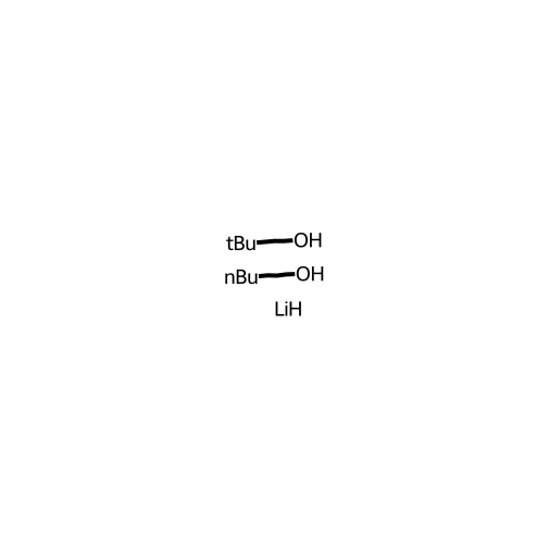 CC(C)(C)O.CCCCO.[LiH]